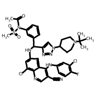 CC(=O)N(c1cccc(C(Nc2cc(Cl)c3ncc(C#N)c(Nc4ccc(F)c(Cl)c4)c3c2)c2cn(C3CCN(C(C)(C)C)CC3)nn2)c1)S(C)(=O)=O